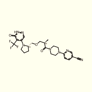 C[C@H](COC[C@@H]1CCCN1c1cn[nH]c(=O)c1C(F)(F)F)C(=O)N1CCN(c2ccc(C#N)cn2)CC1